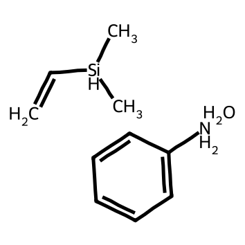 C=C[SiH](C)C.Nc1ccccc1.O